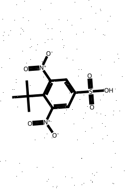 CC(C)(C)c1c([N+](=O)[O-])cc(S(=O)(=O)O)cc1[N+](=O)[O-]